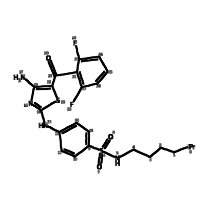 CC(C)CCCCNS(=O)(=O)c1ccc(Nc2nc(N)c(C(=O)c3c(F)cccc3F)s2)cc1